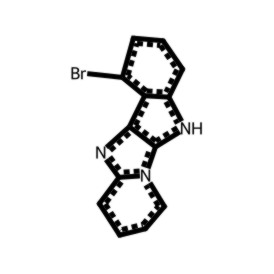 Brc1cccc2[nH]c3c(nc4ccccn43)c12